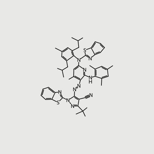 Cc1cc(C)c(Nc2nc(N(c3nc4ccccc4s3)c3c(CC(C)C)cc(C)cc3CC(C)C)cc(C)c2N=Nc2c(C#N)c(C(C)(C)C)nn2-c2nc3ccccc3s2)c(C)c1